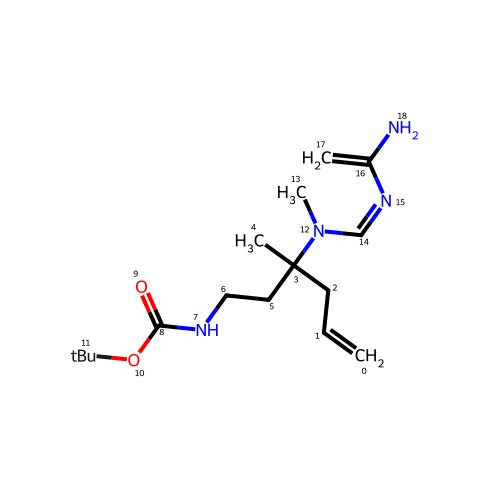 C=CCC(C)(CCNC(=O)OC(C)(C)C)N(C)/C=N\C(=C)N